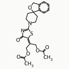 CC(=O)OCC(COC(C)=O)=C1SC(N2CCC3(CC2)OCc2ccccc23)=NC1=O